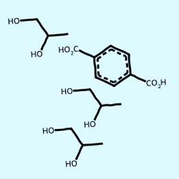 CC(O)CO.CC(O)CO.CC(O)CO.O=C(O)c1ccc(C(=O)O)cc1